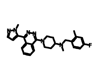 Cc1cc(F)ccc1CN(C)C1CCN(c2nnc(-c3ccnn3C)c3ccccc23)CC1